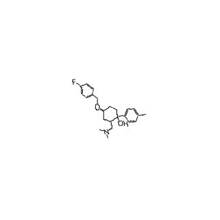 Cc1ccc(C2(O)CCC(OCc3ccc(F)cc3)CC2CN(C)C)cc1